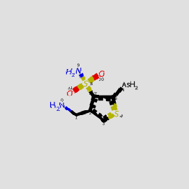 NCc1csc([AsH2])c1S(N)(=O)=O